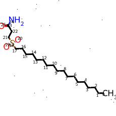 CCCCCCCCCCCCCCCCCCS(=O)(=O)CCC(N)=O